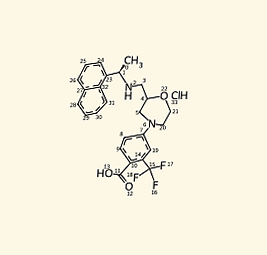 C[C@@H](NCC1CN(c2ccc(C(=O)O)c(C(F)(F)F)c2)CCO1)c1cccc2ccccc12.Cl